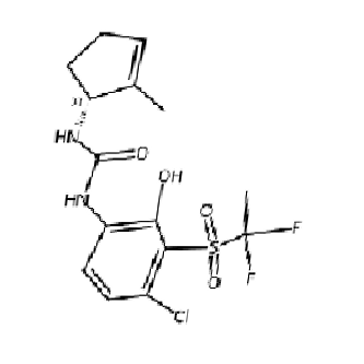 CC1=CCC[C@H]1NC(=O)Nc1ccc(Cl)c(S(=O)(=O)C(C)(F)F)c1O